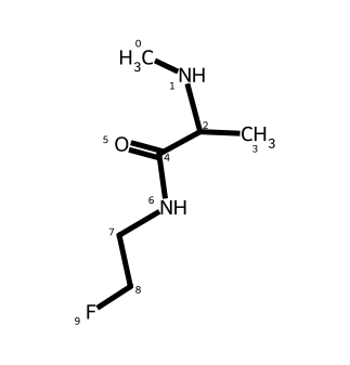 CNC(C)C(=O)NCCF